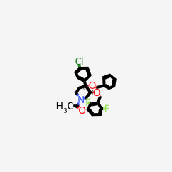 CC(=O)N1CC[C@@](OCc2ccccc2)(c2ccc(Cl)cc2)[C@@H](OCc2c(F)cccc2F)C1